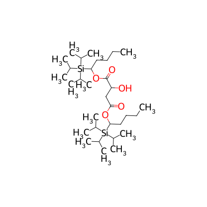 CCCCC(OC(=O)CC(O)C(=O)OC(CCCC)[Si](C(C)C)(C(C)C)C(C)C)[Si](C(C)C)(C(C)C)C(C)C